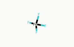 [F][Fe]([F])([F])[F]